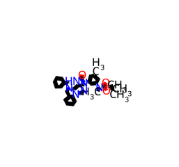 Cc1cc(N(C)C(=O)OC(C)(C)C)cc(-n2c(=O)[nH]c3c(N(Cc4ccccc4)Cc4ccccc4)ncnc32)c1